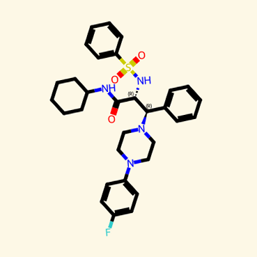 O=C(NC1CCCCC1)[C@H](NS(=O)(=O)c1ccccc1)[C@@H](c1ccccc1)N1CCN(c2ccc(F)cc2)CC1